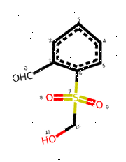 O=Cc1ccccc1S(=O)(=O)CO